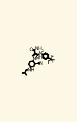 CC(C)CNC1CCC(n2cc(C(N)=O)c(Nc3ccc(C(F)(F)F)cc3)n2)C(C#N)C1